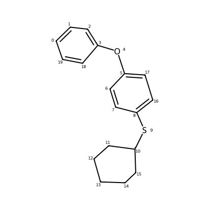 c1ccc(Oc2ccc(S[C]3CCCCC3)cc2)cc1